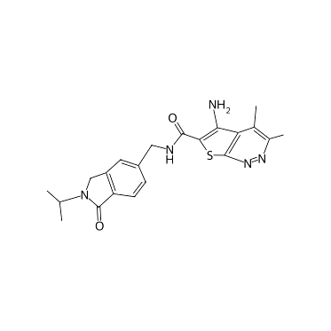 Cc1nnc2sc(C(=O)NCc3ccc4c(c3)CN(C(C)C)C4=O)c(N)c2c1C